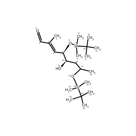 C/C(C=O)=C\[C@@H](O[Si](C)(C)C(C)(C)C)[C@H](O)CC(C)O[Si](C)(C)C(C)(C)C